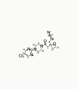 [N-]=[N+]=NCC1(CC(=O)N2CCN(c3ncc(Cl)cn3)CC2)CCO1